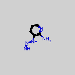 N=NNc1cccnc1N